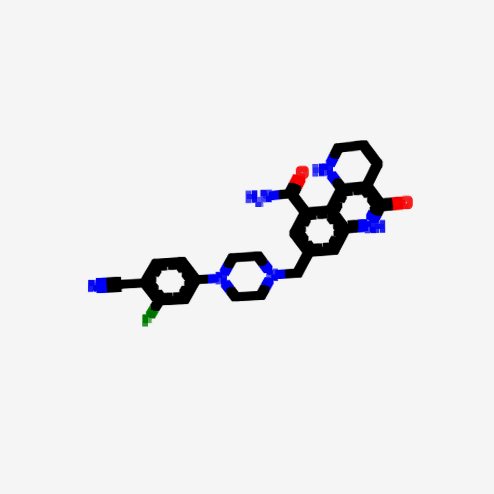 N#Cc1ccc(N2CCN(Cc3cc(C(N)=O)c4c5c(c(=O)[nH]c4c3)CCCN5)CC2)cc1F